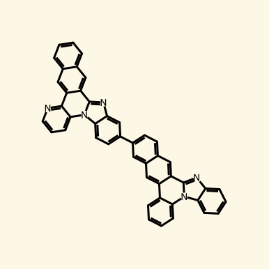 c1ccc2cc3c(cc2c1)c1ncccc1n1c2ccc(-c4ccc5cc6c(cc5c4)c4ccccc4n4c5ccccc5nc64)cc2nc31